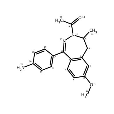 COc1ccc2c(c1)CC(C)N(C(C)=O)N=C2c1ccc(N)cc1